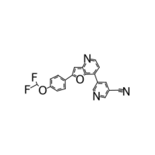 N#Cc1cncc(-c2ccnc3cc(-c4ccc(OC(F)F)cc4)oc23)c1